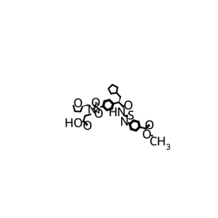 CCOC(=O)c1ccc2nc(NC(=O)[C@H](CC3CCCC3)c3ccc(S(=O)(=O)N(CCC(=O)O)C[C@H]4CCCO4)cc3)sc2c1